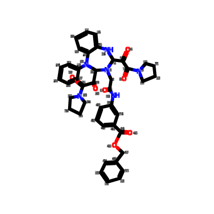 O=C(CN1C(C(=O)C(=O)N2CCCC2)Nc2ccccc2N(c2ccccc2)C1C(=O)C(=O)N1CCCC1)Nc1cccc(C(=O)OCc2ccccc2)c1